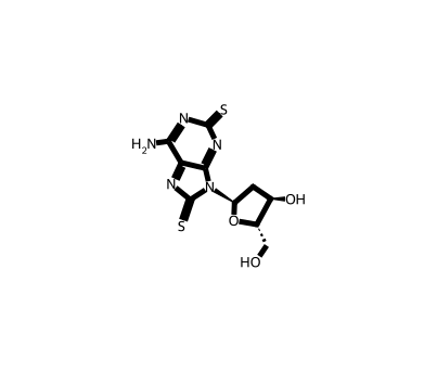 NC1=NC(=S)N=C2C1=NC(=S)N2[C@H]1C[C@@H](O)[C@H](CO)O1